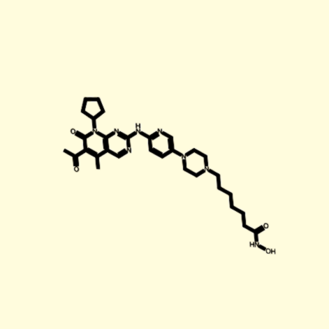 CC(=O)c1c(C)c2cnc(Nc3ccc(N4CCN(CCCCCCC(=O)NO)CC4)cn3)nc2n(C2CCCC2)c1=O